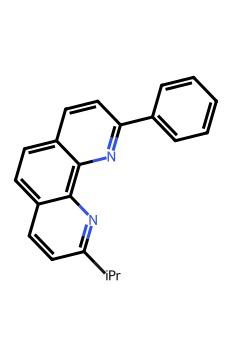 CC(C)c1ccc2ccc3ccc(-c4ccccc4)nc3c2n1